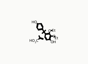 C=C(C)C(=O)O.CCOc1c(O)ccc(C(C)(C)c2ccc(O)cc2)c1OCC